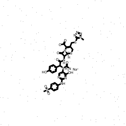 Cn1nnnc1SCC1=C(C(=O)[O-])N2C(=O)C(NC(=O)C(c3ccc(O)cc3)N(C(N)=O)c3cnc(Nc4ccc(S(C)(=O)=O)cc4)nc3O)[C@@H]2SC1.[Na+]